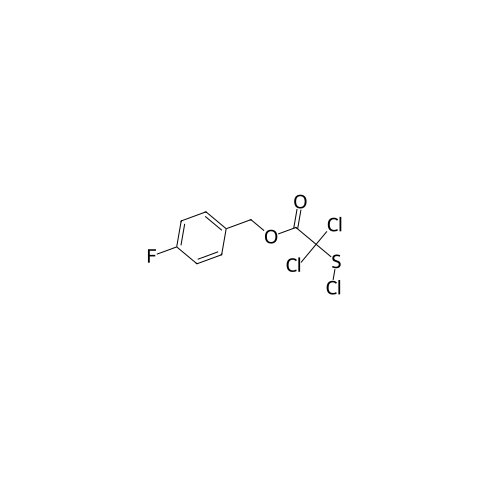 O=C(OCc1ccc(F)cc1)C(Cl)(Cl)SCl